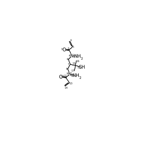 C=CC(=O)N(N)CC(CN(N)C(=O)C=C)C(C)(C)S